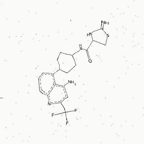 N=C1NC(C(=O)NC2CCC(c3cccc4nc(C(F)(F)F)cc(N)c34)CC2)CS1